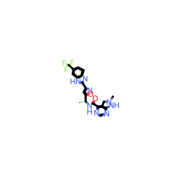 C[C@@H](NC(=O)c1ncnc2c1CN(C)N2)c1cc(-c2nc3ccc(C(F)(F)F)cc3[nH]2)no1